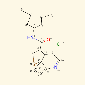 CCCC(CCC)NC(=O)C1CSC23CC=CC=C2N=CCC13.Cl